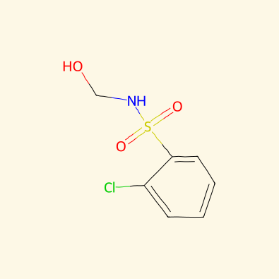 O=S(=O)(NCO)c1ccccc1Cl